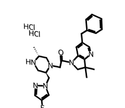 C[C@@H]1CN(CC(=O)N2CC(C)(C)c3ncc(Cc4ccccc4)cc32)[C@@H](Cn2cc(F)cn2)CN1.Cl.Cl